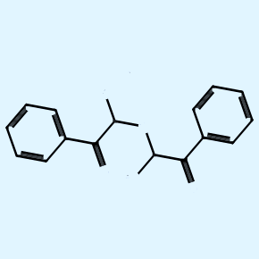 CC(=O)C(OC(C(C)=O)C(=O)c1ccccc1)C(=O)c1ccccc1.[V]